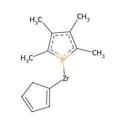 Cc1c(C)c(C)[p]([Zr][C]2=CC=CC2)c1C